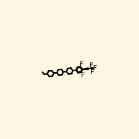 CCC1CCC(C2CCC(C3CCC(c4cc(F)c(C#CC(F)(F)F)c(F)c4)CC3)CC2)CC1